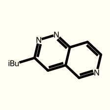 CCC(C)c1cc2cnccc2nn1